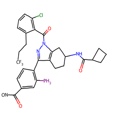 O=NC(=O)c1ccc(-c2nn(C(=O)c3c(Cl)cccc3CCC(F)(F)F)c3c2CCC(NC(=O)C2CCC2)C3)c(P)c1